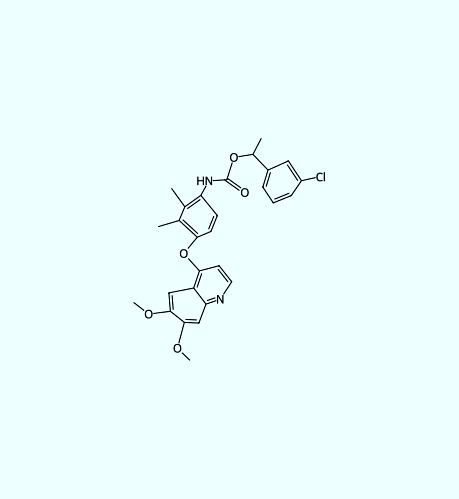 COc1cc2nccc(Oc3ccc(NC(=O)OC(C)c4cccc(Cl)c4)c(C)c3C)c2cc1OC